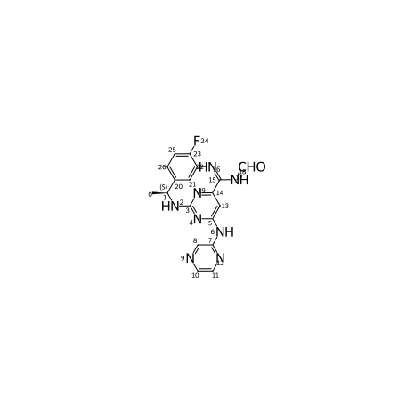 C[C@H](Nc1nc(Nc2cnccn2)cc(C(=N)NC=O)n1)c1ccc(F)cc1